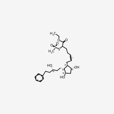 CCOC(=O)C(CC/C=C\C[C@@H]1[C@@H](CC[C@@H](O)CCc2ccccc2)[C@H](O)C[C@H]1O)SS(C)(=O)=O